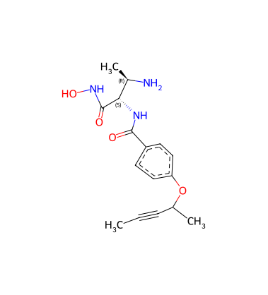 CC#CC(C)Oc1ccc(C(=O)N[C@H](C(=O)NO)[C@@H](C)N)cc1